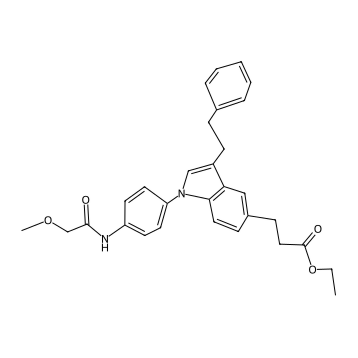 CCOC(=O)CCc1ccc2c(c1)c(CCc1ccccc1)cn2-c1ccc(NC(=O)COC)cc1